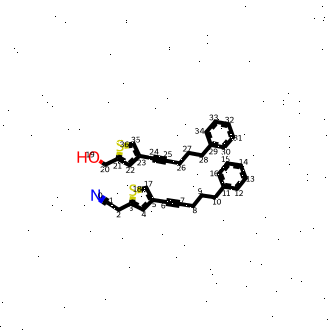 N#CCc1cc(C#CCCCc2ccccc2)cs1.OCc1cc(C#CCCCc2ccccc2)cs1